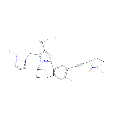 CN1CC[C@](O)(C#Cc2cc3c(cc2F)C2CC(C2)n2c-3nc(C(N)=O)c2[C@@H](O)c2ccnn2C)C1=O